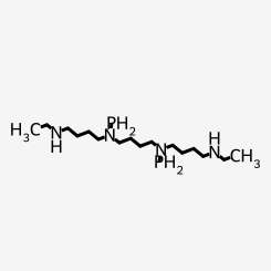 CCNCCCCN(P)CCCCN(P)CCCCNCC